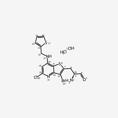 Cl.Cl.N[C@H](C=O)Cc1sc2c(NCc3cccs3)cc(Cl)nc2c1Br